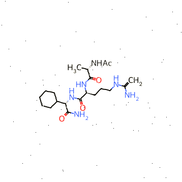 C=C(N)NCCC[C@H](NC(=O)[C@H](C)NC(C)=O)C(=O)N[C@H](C(N)=O)C1CCCCC1